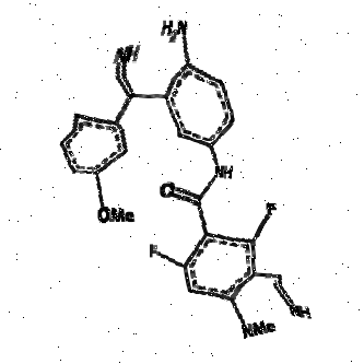 CNc1cc(F)c(C(=O)Nc2ccc(N)c(C(=N)c3cccc(OC)c3)c2)c(F)c1C=N